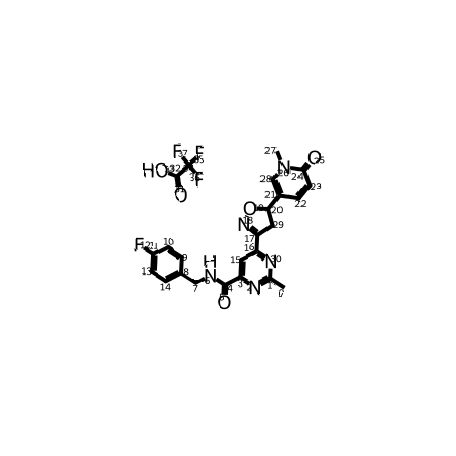 Cc1nc(C(=O)NCc2ccc(F)cc2)cc(C2=NOC(c3ccc(=O)n(C)c3)C2)n1.O=C(O)C(F)(F)F